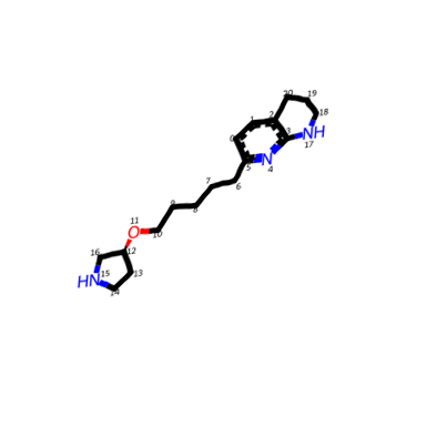 c1cc2c(nc1CCCCCO[C@H]1CCNC1)NCCC2